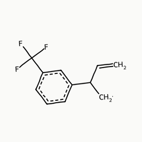 [CH2]C(C=C)c1cccc(C(F)(F)F)c1